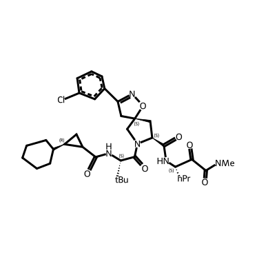 CCC[C@H](NC(=O)[C@@H]1C[C@]2(CC(c3cccc(Cl)c3)=NO2)CN1C(=O)[C@@H](NC(=O)C1C[C@@H]1C1CCCCC1)C(C)(C)C)C(=O)C(=O)NC